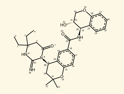 CCC1(CC)CC(=O)N([C@@H]2CC(C)(C)Oc3ccc(C(=O)N[C@@H]4c5ccccc5OC[C@H]4O)cc32)C(=N)N1